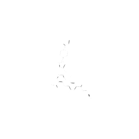 C=CC(=O)N1CCC(n2cc(Nc3ncc(C(N)=O)c(Nc4c(C)cc(C(=O)NCC#N)cc4OC)n3)cn2)CC1